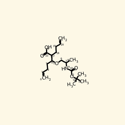 C=CCCC(OCC(C)NC(=O)OC(C)(C)C)C(CCC=C)C(=O)O